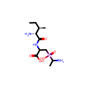 CC[C@@H](C)[C@@H](N)C(=O)NC(CP(=O)(O)C(C)N)C(=O)O